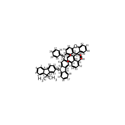 CC1(C)c2ccccc2-c2ccc(-n3c4ccccc4c4ccc(N(c5ccccc5)c5ccc6c(c5)C5(c7ccccc7O6)c6ccccc6-c6cccc7cccc5c67)cc43)cc21